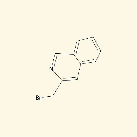 BrCc1cc2ccccc2cn1